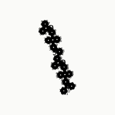 c1ccc(-n2c3ccccc3c3cc(-c4c5ccccc5c(-c5ccc6oc7c8cc(-c9cccc%10c9sc9ccc(-c%11c%12ccccc%12c(-c%12ccc%13oc%14c%15ccccc%15c%15ccccc%15c%14c%13c%12)c%12ccccc%11%12)cc9%10)ccc8c8ccccc8c7c6c5)c5ccccc45)ccc32)cc1